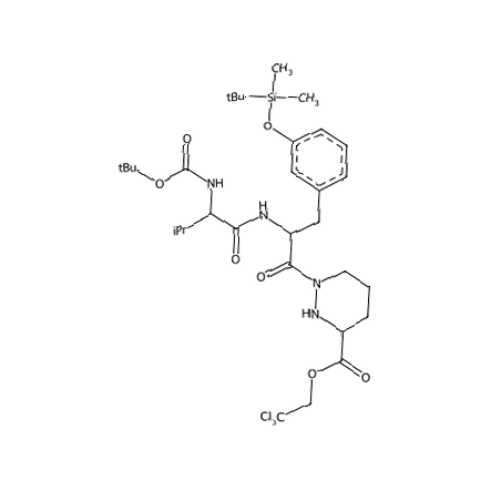 CC(C)C(NC(=O)OC(C)(C)C)C(=O)NC(Cc1cccc(O[Si](C)(C)C(C)(C)C)c1)C(=O)N1CCCC(C(=O)OCC(Cl)(Cl)Cl)N1